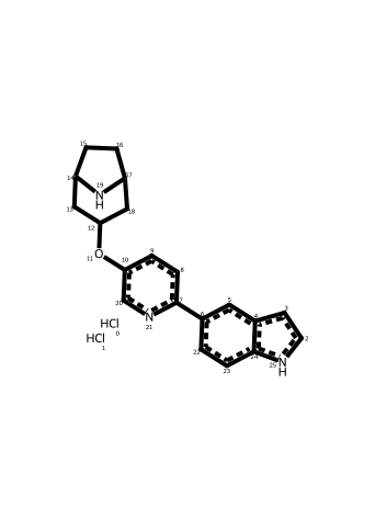 Cl.Cl.c1cc2cc(-c3ccc(OC4CC5CCC(C4)N5)cn3)ccc2[nH]1